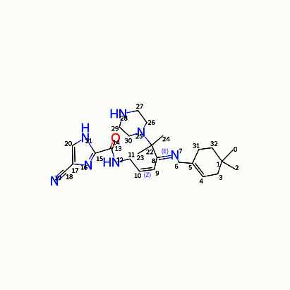 CC1(C)CC=C(C/N=C(\C=C/CNC(=O)c2nc(C#N)c[nH]2)C(C)(C)N2CCNCC2)CC1